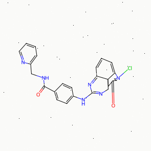 O=C1CCN(Cl)C2=CC=CC3=NC(Nc4ccc(C(=O)NCc5ccccn5)cc4)=NCC23C1